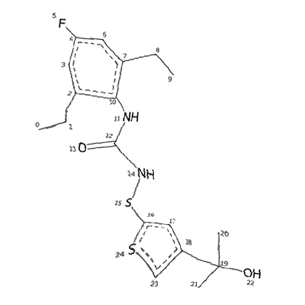 CCc1cc(F)cc(CC)c1NC(=O)NSc1cc(C(C)(C)O)cs1